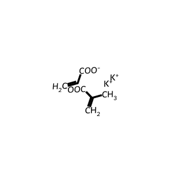 C=C(C)C(=O)[O-].C=CC(=O)[O-].[K+].[K+]